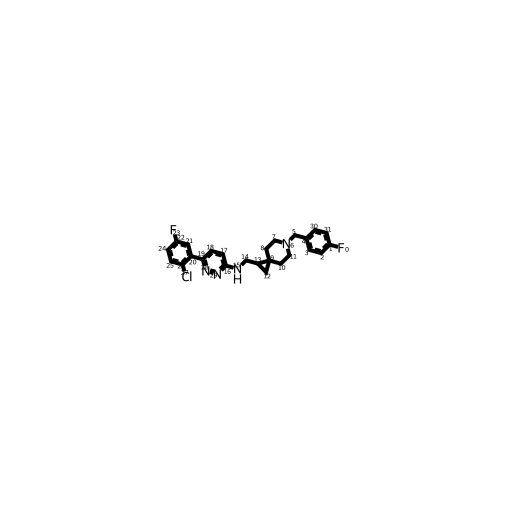 Fc1ccc(CN2CCC3(CC2)CC3CNc2ccc(-c3cc(F)ccc3Cl)nn2)cc1